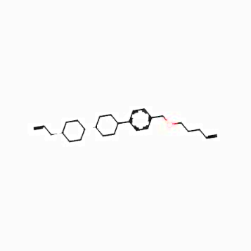 C=CCCCOCc1ccc(C2CCC([C@H]3CC[C@H](CC=C)CC3)CC2)cc1